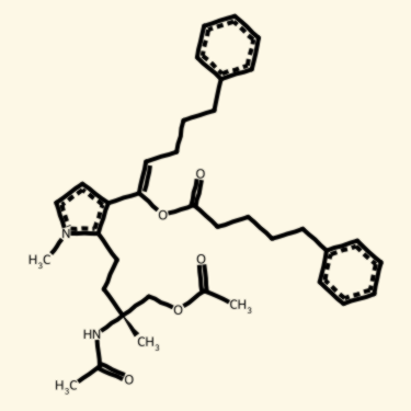 CC(=O)N[C@](C)(CCc1c(/C(=C/CCCc2ccccc2)OC(=O)CCCCc2ccccc2)ccn1C)COC(C)=O